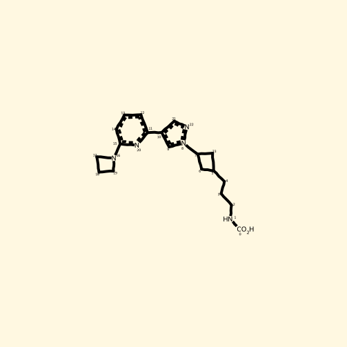 O=C(O)NCCCC1CC(n2cc(-c3cccc(N4CCC4)n3)cn2)C1